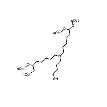 CCCCCCCCOC(CCCCCN(CCCCO)CCCCCC(OCCCCCCCC)OCCCCCCCC)OCCCCCCCC